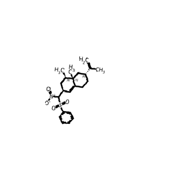 C=C(C)[C@@H]1CCC2=CC(C([N+](=O)[O-])S(=O)(=O)c3ccccc3)C[C@@H](C)[C@]2(C)C1